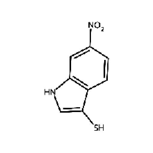 O=[N+]([O-])c1ccc2c(S)c[nH]c2c1